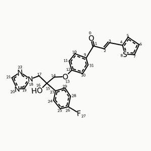 O=C(/C=C/c1cccs1)c1ccc(OCC(O)(Cn2cncn2)c2ccc(F)cc2)cc1